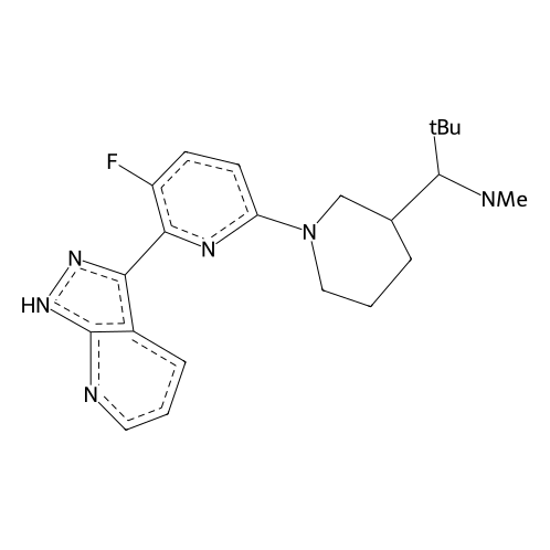 CNC(C1CCCN(c2ccc(F)c(-c3n[nH]c4ncccc34)n2)C1)C(C)(C)C